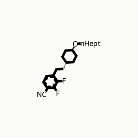 CCCCCCCO[C@H]1CC[C@H](CCc2ccc(C#N)c(F)c2F)CC1